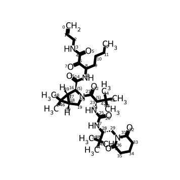 C=CCNC(=O)C(=O)C(CCCC)NC(=O)[C@@H]1[C@@H]2[C@H](CN1C(=O)[C@@H](NC(=O)N[C@H](CN1C(=O)CCCC1=O)C(C)(C)C)C(C)(C)C)C2(C)C